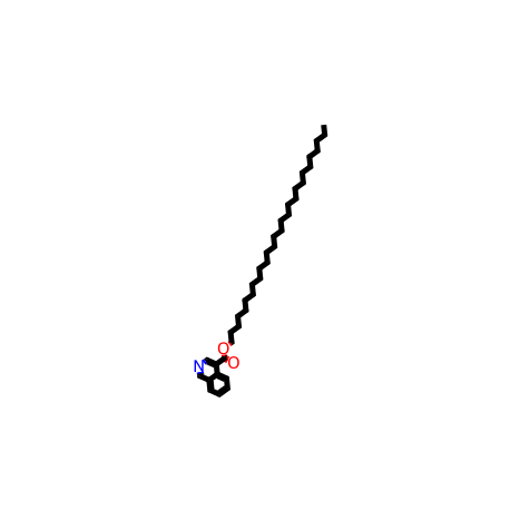 CCCCCCCCCCCCCCCCCCCCCCCCCCCCOC(=O)c1cncc2ccccc12